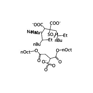 CCCCC(CC)CC(C(=O)[O-])C(CC(CC)CCCC)(C(=O)[O-])S(=O)(=O)O.CCCCCCCCOC(=O)CC(C(=O)OCCCCCCCC)S(=O)(=O)[O-].[Na+].[Na+].[Na+]